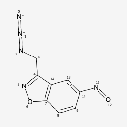 [N-]=[N+]=NCc1noc2ccc(N=O)cc12